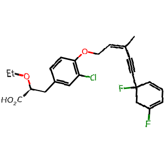 CCO[C@@H](Cc1ccc(OCC=C(C)C#CC2(F)C=CC=C(F)C2)c(Cl)c1)C(=O)O